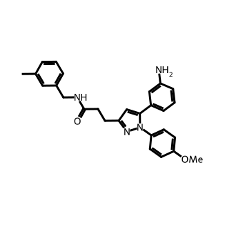 COc1ccc(-n2nc(CCC(=O)NCc3cccc(C)c3)cc2-c2cccc(N)c2)cc1